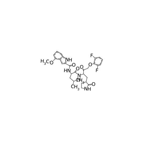 COc1cccc2[nH]c(C(=O)NC(CC(C)C)C(=O)NC(CC3CCNC3=O)C(=O)COc3c(F)cccc3F)cc12